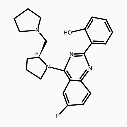 Oc1ccccc1-c1nc(N2CCC[C@H]2CN2CCCC2)c2cc(F)ccc2n1